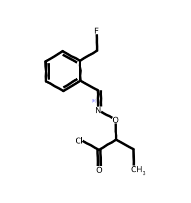 CCC(O/N=C/c1ccccc1CF)C(=O)Cl